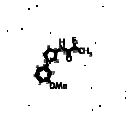 COc1cccc(N2CCC(NC(=O)C(C)F)C2)c1